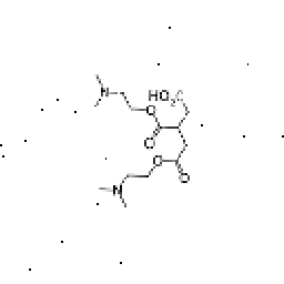 CN(C)CCOC(=O)CC(CC(=O)O)C(=O)OCCN(C)C